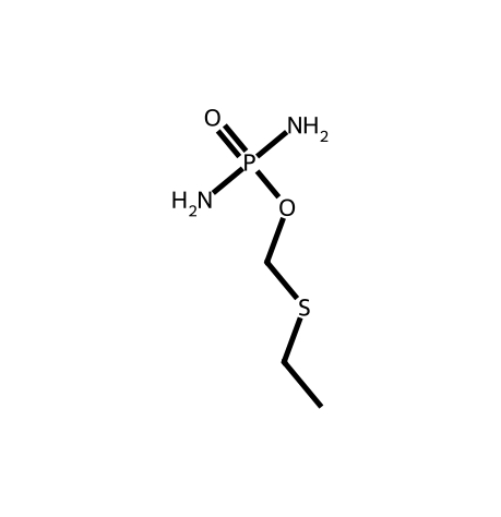 CCSCOP(N)(N)=O